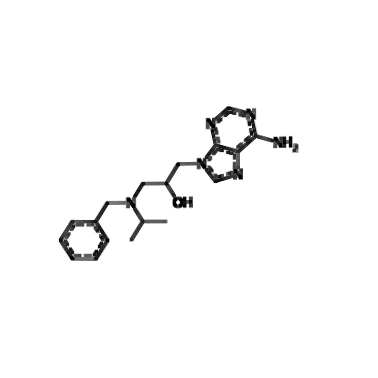 CC(C)N(Cc1ccccc1)CC(O)Cn1cnc2c(N)ncnc21